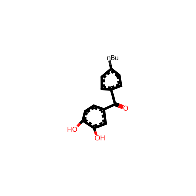 CCCCc1ccc(C(=O)c2ccc(O)c(O)c2)cc1